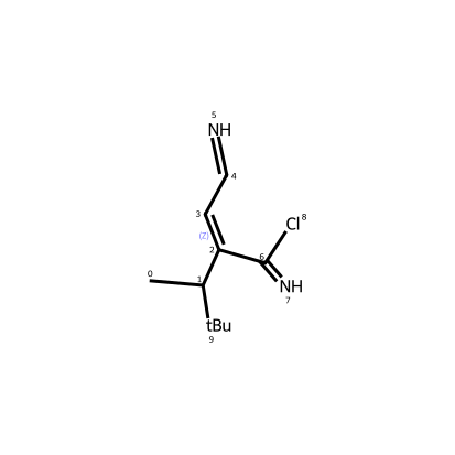 CC(/C(=C/C=N)C(=N)Cl)C(C)(C)C